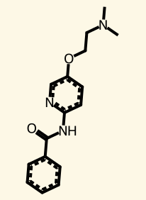 CN(C)CCOc1ccc(NC(=O)c2ccccc2)nc1